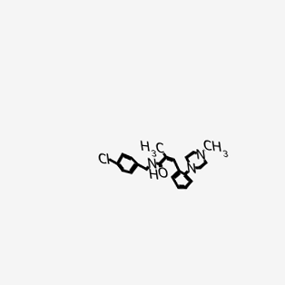 C/C(=C/c1ccccc1N1CCN(C)CC1)C(=O)NCc1ccc(Cl)cc1